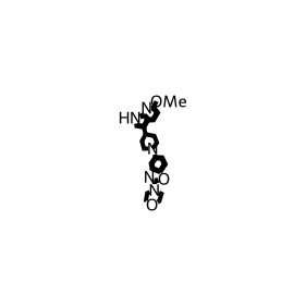 COc1ccc2c(C3CCN(c4ccc5oc(N6CCOCC6)nc5c4)CC3)c[nH]c2n1